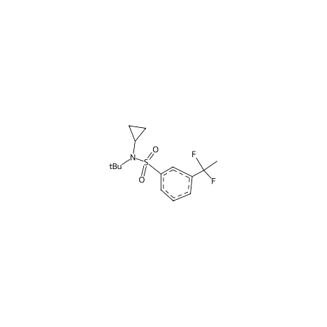 CC(F)(F)c1cccc(S(=O)(=O)N(C2CC2)C(C)(C)C)c1